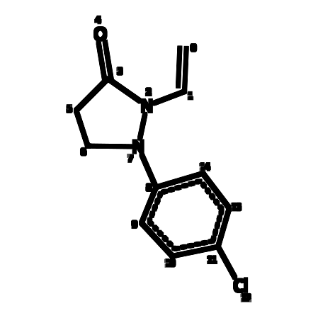 C=CN1C(=O)CCN1c1ccc(Cl)cc1